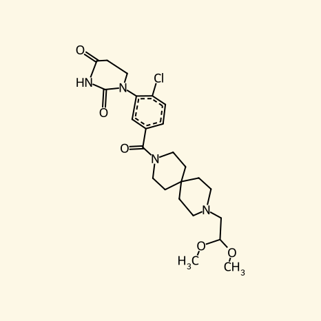 COC(CN1CCC2(CC1)CCN(C(=O)c1ccc(Cl)c(N3CCC(=O)NC3=O)c1)CC2)OC